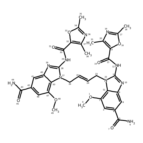 COc1cc(C(N)=O)cc2nc(NC(=O)c3oc(C)nc3C)n(C/C=C/Cn3c(NC(=O)c4oc(C)nc4C)nc4cc(C(N)=O)cc(OC)c43)c12